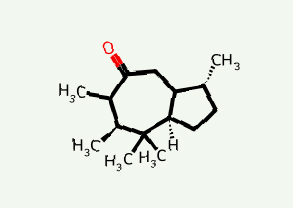 CC1C(=O)CC2[C@H](C)CC[C@H]2C(C)(C)[C@H]1C